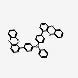 c1ccc(N(c2ccc(-c3cccc4c3Sc3ccccc3S4)cc2)c2ccc(-c3cccc4c3Sc3ccccc3S4)cc2)cc1